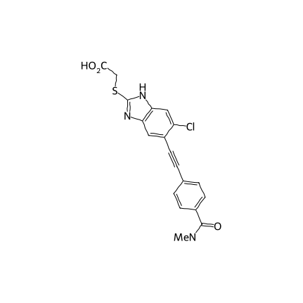 CNC(=O)c1ccc(C#Cc2cc3nc(SCC(=O)O)[nH]c3cc2Cl)cc1